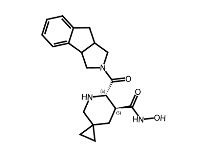 O=C(NO)[C@H]1CC2(CC2)CN[C@@H]1C(=O)N1CC2Cc3ccccc3C2C1